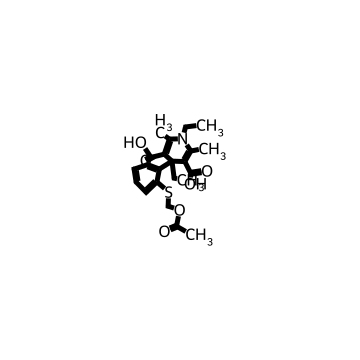 CCN1C(C)=C(C(=O)O)C(CC)(c2ccccc2SCOC(C)=O)C(C(=O)O)=C1C